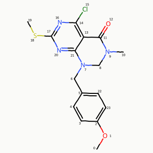 COc1ccc(CN2CN(C)C(=O)c3c(Cl)nc(SC)nc32)cc1